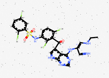 CCN/C=C(\C=N)Nc1ncnc2[nH]cc(C(=O)c3c(F)ccc(NS(=O)(=O)c4cc(F)ccc4F)c3F)c12